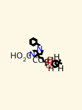 CC1(C)[C@@H]2C[C@H]3OB(CCCC45CCN(Cc6ccccc6)C4CN(C(=O)O)[C@@H]5C(=O)O)O[C@@]3(C)[C@H]1C2